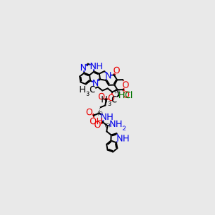 CCCCC(OC(=O)CC[C@H](NC(=O)[C@@H](N)Cc1c[nH]c2ccccc12)C(=O)O)[C@@]1(CC)C(=O)OCc2c1cc1n(c2=O)Cc2c-1nc1cccc3c1c2NC=N3.Cl